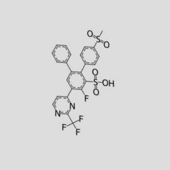 CS(=O)(=O)c1ccc(-c2c(-c3ccccc3)cc(-c3ccnc(C(F)(F)F)n3)c(F)c2S(=O)(=O)O)cc1